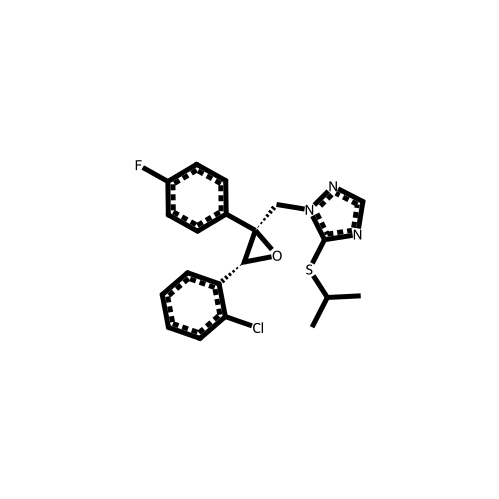 CC(C)Sc1ncnn1C[C@]1(c2ccc(F)cc2)O[C@@H]1c1ccccc1Cl